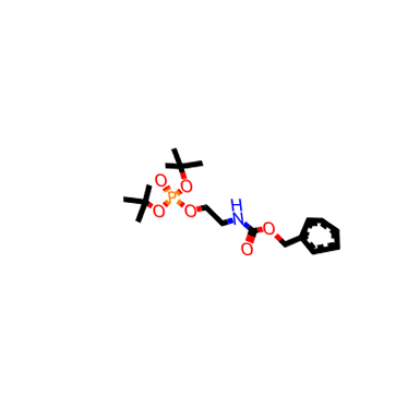 CC(C)(C)OP(=O)(OCCNC(=O)OCc1ccccc1)OC(C)(C)C